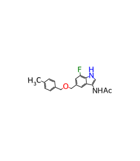 CC(=O)Nc1c[nH]c2c(F)cc(COCc3ccc(C)cc3)cc12